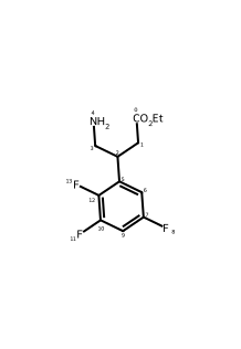 CCOC(=O)CC(CN)c1cc(F)cc(F)c1F